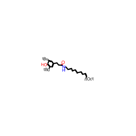 CCCCCCCC/C=C\CCCCCCCCNC(=O)CCc1cc(C(C)(C)C)c(O)c(C(C)(C)C)c1